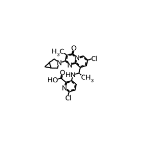 Cc1c(N2CC3CC3C2)nc2c([C@@H](C)Nc3ccc(Cl)nc3C(=O)O)cc(Cl)cn2c1=O